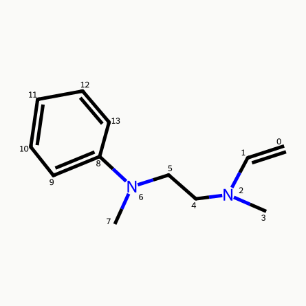 C=CN(C)CCN(C)c1ccccc1